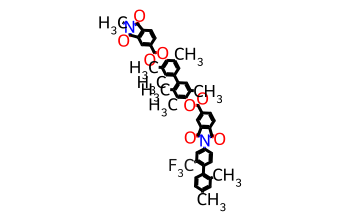 Cc1ccc(-c2ccc(N3C(=O)c4ccc(C(=O)Oc5c(C)cc(-c6cc(C)c(OC(=O)c7ccc8c(c7)C(=O)N(C)C8=O)c(C)c6C)c(C)c5C)cc4C3=O)cc2C(F)(F)F)c(C)c1